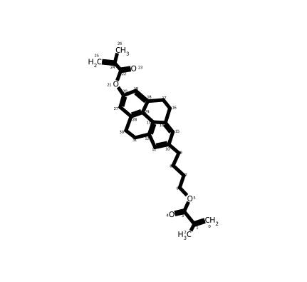 C=C(C)C(=O)OCCCCc1cc2c3c(c1)CCc1cc(OC(=O)C(=C)C)cc(c1-3)CC2